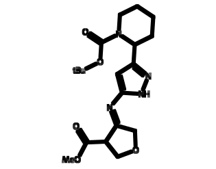 COC(=O)C1COCC1=Nc1cc(C2CCCCN2C(=O)OC(C)(C)C)n[nH]1